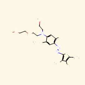 CCCOCCOCCN(CCOCCC)c1cc(C)c(/N=N/c2sc(C#N)c(C)c2C#N)cc1OC